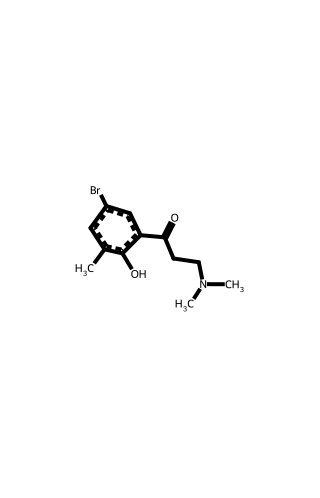 Cc1cc(Br)cc(C(=O)CCN(C)C)c1O